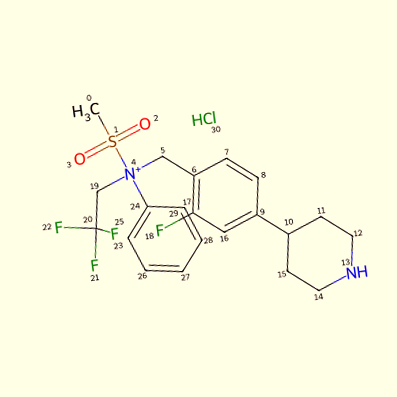 CS(=O)(=O)[N+](Cc1ccc(C2CCNCC2)cc1F)(CC(F)(F)F)c1ccccc1.Cl